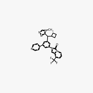 Cn1cnnc1C(c1cc(-c2ccncc2)cc(-n2cc3c(C(F)(F)F)cccn3c2=O)c1)C1CCC1